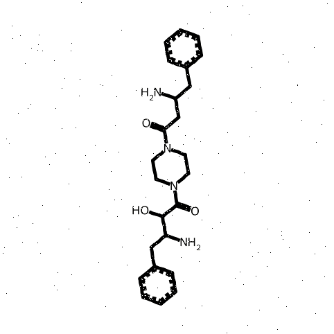 NC(CC(=O)N1CCN(C(=O)C(O)C(N)Cc2ccccc2)CC1)Cc1ccccc1